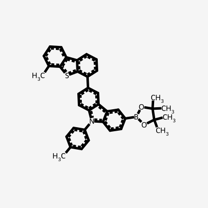 Cc1ccc(-n2c3ccc(B4OC(C)(C)C(C)(C)O4)cc3c3cc(-c4cccc5c4sc4c(C)cccc45)ccc32)cc1